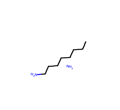 CCCCCCCCN.N